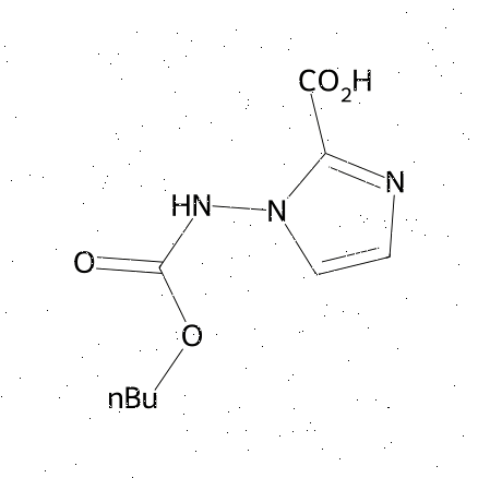 CCCCOC(=O)Nn1ccnc1C(=O)O